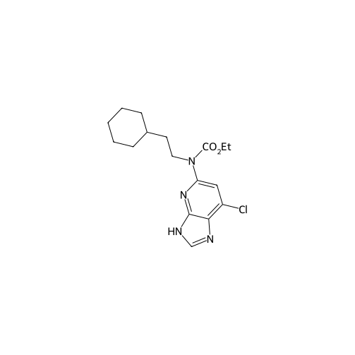 CCOC(=O)N(CCC1CCCCC1)c1cc(Cl)c2nc[nH]c2n1